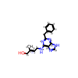 C/C(=C\CNc1nc(Cc2ccccc2)nc2[nH]cnc12)CO